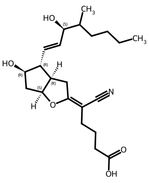 CCCCC(C)[C@H](O)C=C[C@@H]1[C@H]2CC(=C(C#N)CCCC(=O)O)O[C@H]2C[C@H]1O